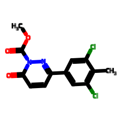 COC(=O)n1nc(-c2cc(Cl)c(C)c(Cl)c2)ccc1=O